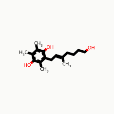 C/C(=C\Cc1c(C)c(O)c(C)c(C)c1O)CCCCO